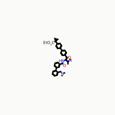 CCOC(=O)C1(c2ccc(-c3ccc(-c4onc(C)c4NC(=O)c4cccc(-c5ccccc5CN(C)C)c4)cc3)cc2)CC1